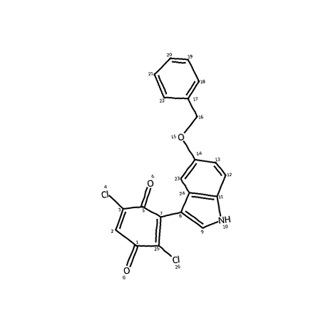 O=C1C=C(Cl)C(=O)C(c2c[nH]c3ccc(OCc4ccccc4)cc23)=C1Cl